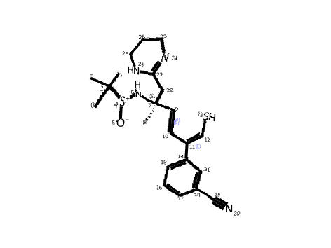 CC(C)(C)[S+]([O-])N[C@](C)(/C=C/C(=C\S)c1cccc(C#N)c1)CC1=NCCCN1